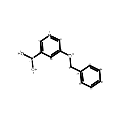 OB(O)c1cncc(OCc2ccccc2)c1